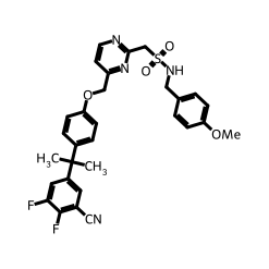 COc1ccc(CNS(=O)(=O)Cc2nccc(COc3ccc(C(C)(C)c4cc(F)c(F)c(C#N)c4)cc3)n2)cc1